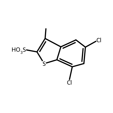 Cc1c(S(=O)(=O)O)sc2c(Cl)cc(Cl)cc12